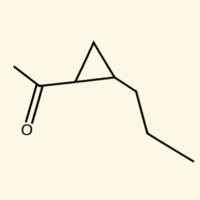 CCCC1CC1C(C)=O